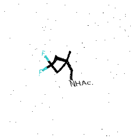 CC(=O)NCC1(C)CC(F)(F)C1